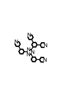 c1cc(-c2ccncc2)cc(-c2nc(-c3cccc(-c4ccncc4)c3)nc(-c3cc(-c4ccncc4)cc(-c4ccncc4)c3)n2)c1